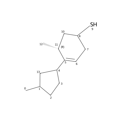 CC1CCC(C2=CCC(S)C[C@H]2C)C1